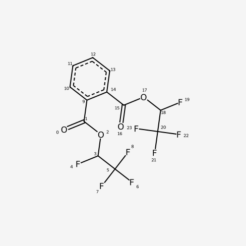 O=C(OC(F)C(F)(F)F)c1ccccc1C(=O)OC(F)C(F)(F)F